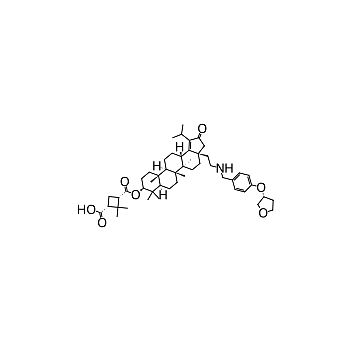 CC(C)C1=C2[C@H]3CC[C@@H]4[C@@]5(C)CC[C@H](OC(=O)[C@H]6C[C@@H](C(=O)O)C6(C)C)C(C)(C)[C@@H]5CC[C@@]4(C)[C@]3(C)CC[C@@]2(CCNCc2ccc(O[C@@H]3CCOC3)cc2)CC1=O